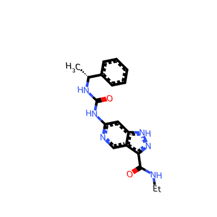 CCNC(=O)c1n[nH]c2cc(NC(=O)N[C@H](C)c3ccccc3)ncc12